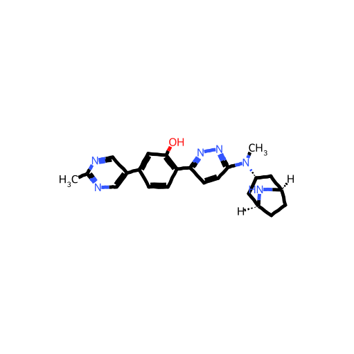 Cc1ncc(-c2ccc(-c3ccc(N(C)[C@@H]4C[C@H]5CC[C@@H](C4)N5)nn3)c(O)c2)cn1